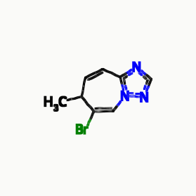 CC1C=Cc2ncnn2C=C1Br